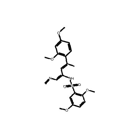 C=N/C=C(\C=C(/C)c1ccc(OC)cc1OC)NS(=O)(=O)c1cc(OC)ccc1OC